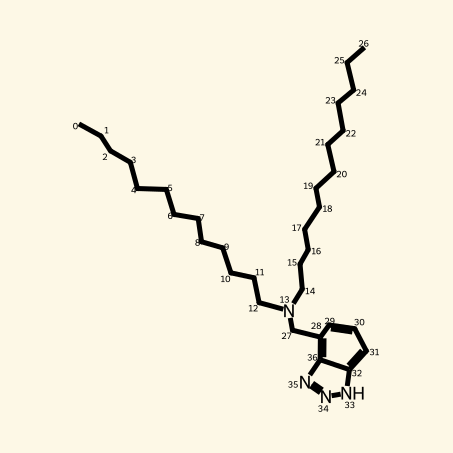 CCCCCCCCCCCCCN(CCCCCCCCCCCCC)Cc1cccc2[nH]nnc12